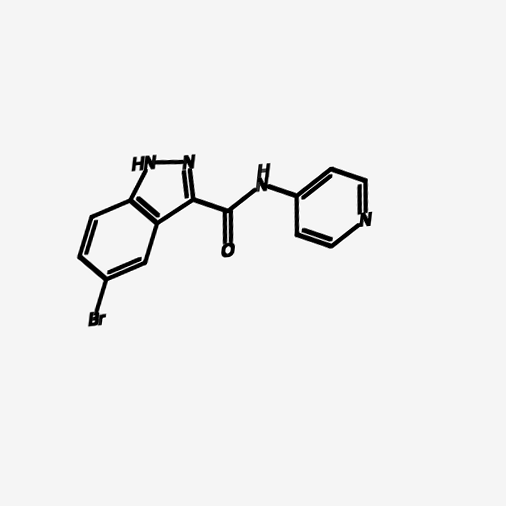 O=C(Nc1ccncc1)c1n[nH]c2ccc(Br)cc12